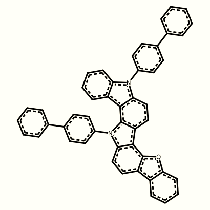 c1ccc(-c2ccc(-n3c4ccccc4c4c3ccc3c5c6oc7ccccc7c6ccc5n(-c5ccc(-c6ccccc6)cc5)c34)cc2)cc1